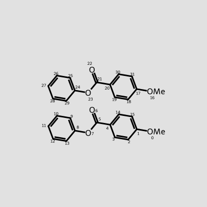 COc1ccc(C(=O)Oc2ccccc2)cc1.COc1ccc(C(=O)Oc2ccccc2)cc1